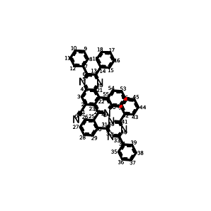 N#Cc1cc2nc(-c3ccccc3)c(-c3ccccc3)nc2c2c1c(-c1ccccc1-c1nc(-c3ccccc3)nc(-c3ccccc3)n1)nc1ccccc12